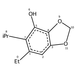 CCc1cc2c(c(O)c1C(C)C)OCO2